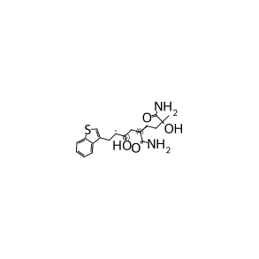 CC(O)(CC[C@H](C[C@@H](O)[CH]Cc1csc2ccccc12)C(N)=O)C(N)=O